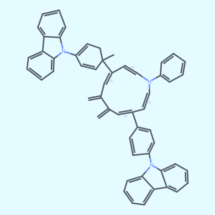 C=C1/C=C(c2ccc(-n3c4ccccc4c4ccccc43)cc2)\C=C/N(c2ccccc2)/C=C\C(C2(C)C=CC(n3c4ccccc4c4ccccc43)=CC2)=C/C1=C